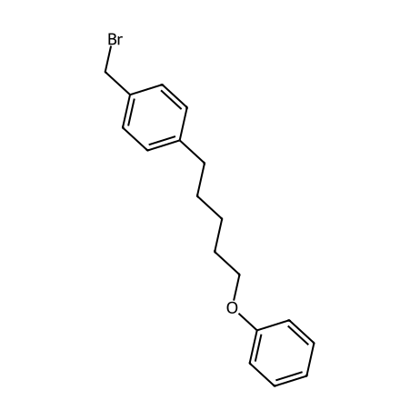 BrCc1ccc(CCCCCOc2ccccc2)cc1